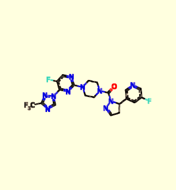 O=C(N1CCN(c2ncc(F)c(-n3cnc(C(F)(F)F)n3)n2)CC1)N1N=CCC1c1cncc(F)c1